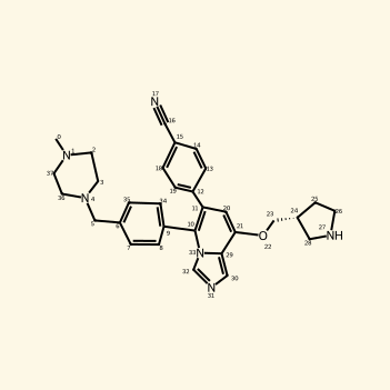 CN1CCN(Cc2ccc(-c3c(-c4ccc(C#N)cc4)cc(OC[C@@H]4CCNC4)c4cncn34)cc2)CC1